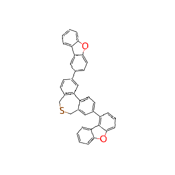 c1ccc2c(c1)oc1ccc(-c3ccc4c(c3)-c3ccc(-c5cccc6oc7ccccc7c56)cc3CSC4)cc12